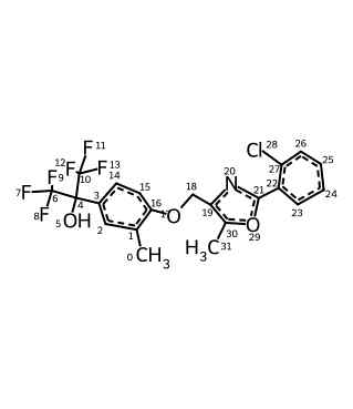 Cc1cc(C(O)(C(F)(F)F)C(F)(F)F)ccc1OCc1nc(-c2ccccc2Cl)oc1C